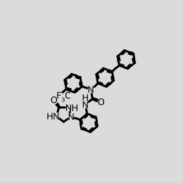 O=C1NCN(c2ccccc2NC(=O)N(c2ccc(-c3ccccc3)cc2)c2cccc(C(F)(F)F)c2)N1